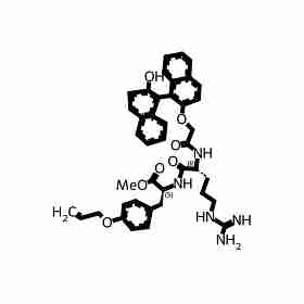 C=CCOc1ccc(C[C@H](NC(=O)[C@@H](CCCNC(=N)N)NC(=O)COc2ccc3ccccc3c2-c2c(O)ccc3ccccc23)C(=O)OC)cc1